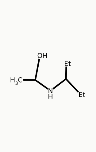 CCC(CC)NC(C)O